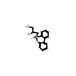 O=P1(CC(O)CO)Oc2ccccc2-c2ccccc21